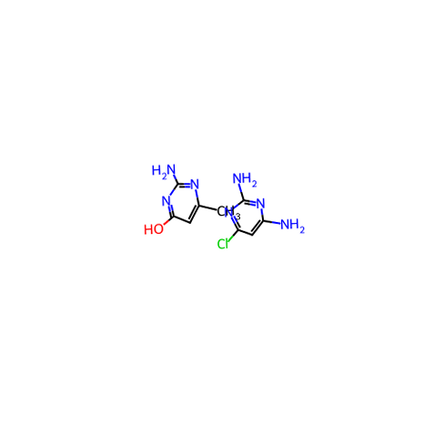 Cc1cc(O)nc(N)n1.Nc1cc(Cl)nc(N)n1